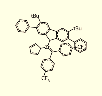 CC(C)(C)c1cc2c(cc1-c1ccccc1)[CH]([Zr](=[C](c1ccc(C(F)(F)F)cc1)c1ccc(C(F)(F)F)cc1)[CH]1C=CC=C1)c1cc(-c3ccccc3)c(C(C)(C)C)cc1-2